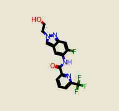 O=C(Nc1cc2cn(CCO)nc2cc1F)c1cccc(C(F)(F)F)n1